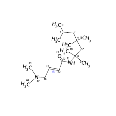 CC(C)CC(C)(C)CC(C)(C)NC(=O)/C=C/CN(C)C